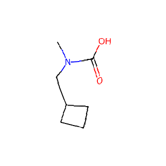 CN(CC1CCC1)C(=O)O